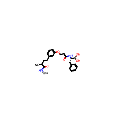 CC(C)(C)NC(=O)C(C#N)CCc1cccc(OCCC(=O)N[C@@H](Cc2ccccc2)B(O)O)c1